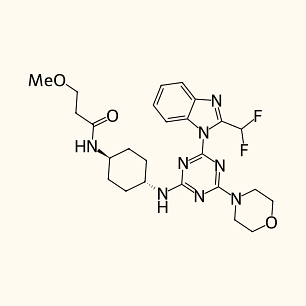 COCCC(=O)N[C@H]1CC[C@H](Nc2nc(N3CCOCC3)nc(-n3c(C(F)F)nc4ccccc43)n2)CC1